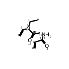 C=CC(N)=O.C=CN(CC)C(C)=O